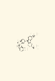 CC(C)(C)c1ccc2c(c1)c1cc(C(C)(C)C)ccc1n2-c1ccc2c(c1)-n1c(nc3ccccc31)CO2